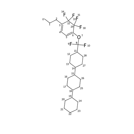 CCCC1=CC=C(OC(F)(F)C2CCC(C3CCC(C4CCCCC4)CC3)CC2)C(F)(F)C1(F)F